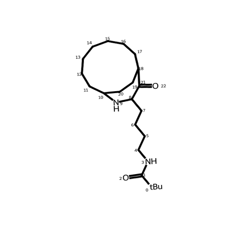 CC(C)(C)C(=O)NCCCCC1NC2CCCCCCCC(CC2)C1=O